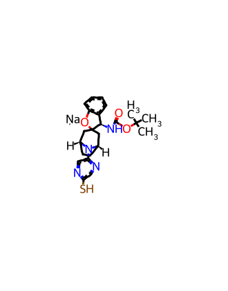 CC(C)(C)OC(=O)N[C@@H]1c2ccccc2OC12C[C@H]1CC[C@@H](C2)N1c1cnc(S)cn1.[Na]